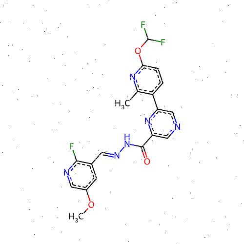 COc1cnc(F)c(/C=N/NC(=O)c2cncc(-c3ccc(OC(F)F)nc3C)n2)c1